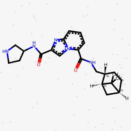 CC1(C)[C@H]2CC[C@@H](CNC(=O)c3cccc4nc(C(=O)NC5CCNC5)cn34)[C@@H]1C2